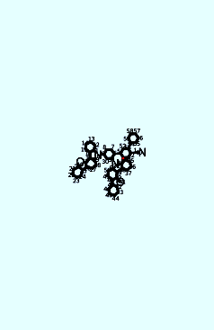 N#Cc1ccc(-c2ccc(-n3c4ccccc4c4c5oc6ccccc6c5ccc43)cc2-n2c3ccccc3c3c4oc5ccccc5c4ccc32)cc1-c1ccccc1